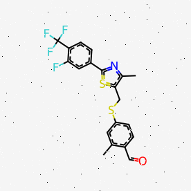 Cc1cc(SCc2sc(-c3ccc(C(F)(F)F)c(F)c3)nc2C)ccc1C=O